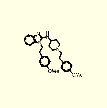 COc1ccc(CCN2CCC(Nc3nc4ccccc4n3CCc3ccc(OC)cc3)CC2)cc1